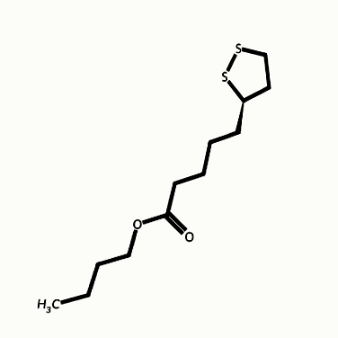 CCCCOC(=O)CCCC[C@@H]1CCSS1